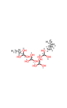 OB(O)O.OB(O)O.OB(O)O.OB(O)O.[TeH2].[TeH2].[TeH2].[TeH2].[TeH2].[TeH2]